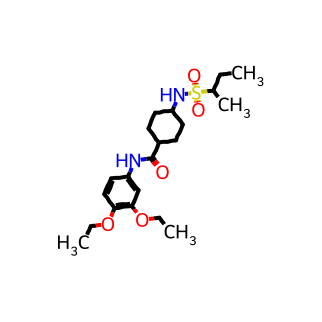 CCOc1ccc(NC(=O)C2CCC(NS(=O)(=O)C(C)CC)CC2)cc1OCC